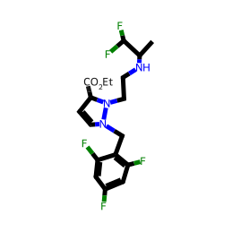 CCOC(=O)C1C=CN(Cc2c(F)cc(F)cc2F)N1CCNC(C)C(F)F